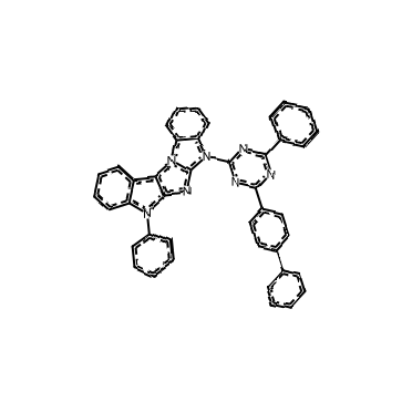 c1ccc(-c2ccc(-c3nc(-c4ccccc4)nc(-n4c5ccccc5n5c6c7ccccc7n(-c7ccccc7)c6nc45)n3)cc2)cc1